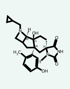 CCN1C(=O)NC(=O)[C@@]12CC[C@@]1(O)[C@H]3C(CN3CC3CC3)C[C@]1(c1cc(O)ccc1C)C2